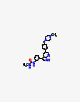 CNC(=O)Nc1cccc(-c2c[nH]c3ncc(-c4ccc(CN5CCN(C)CC5)cc4)cc23)c1